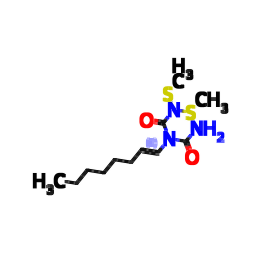 CCCCCC/C=C/N(C(N)=O)C(=O)N(SC)SC